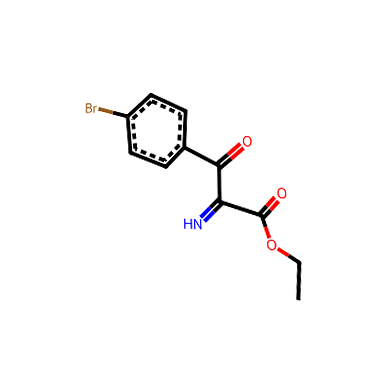 CCOC(=O)C(=N)C(=O)c1ccc(Br)cc1